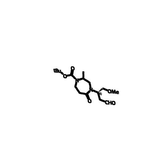 COC[C@H](CC=O)N1CC(C)N(C(=O)OC(C)(C)C)CCC1=O